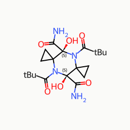 CC(C)(C)C(=O)N1C2(CC2)[C@](O)(C(N)=O)N(C(=O)C(C)(C)C)C2(CC2)[C@]1(O)C(N)=O